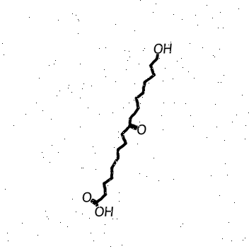 O=C(O)CCCCCCCCC(=O)CCCCCCCCO